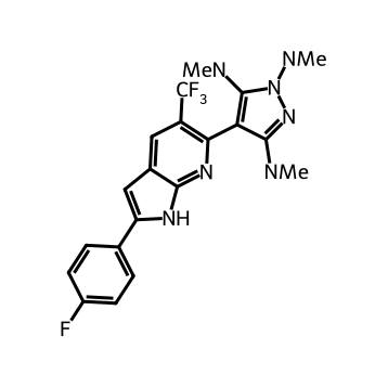 CNc1nn(NC)c(NC)c1-c1nc2[nH]c(-c3ccc(F)cc3)cc2cc1C(F)(F)F